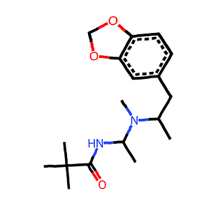 CC(Cc1ccc2c(c1)OCO2)N(C)C(C)NC(=O)C(C)(C)C